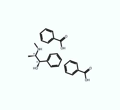 CN[C@H](C)[C@H](O)c1ccccc1.O=C(O)c1ccccc1.O=C(O)c1ccccc1